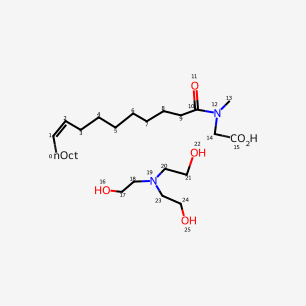 CCCCCCCC/C=C\CCCCCCCC(=O)N(C)CC(=O)O.OCCN(CCO)CCO